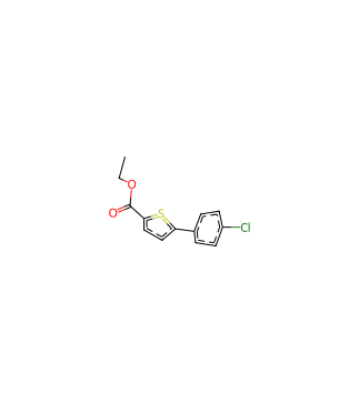 CCOC(=O)c1ccc(-c2ccc(Cl)cc2)s1